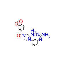 Nc1nc(N)c2c(N3CCN(C(=O)c4ccc5c(c4)OCO5)CC3)cccc2n1